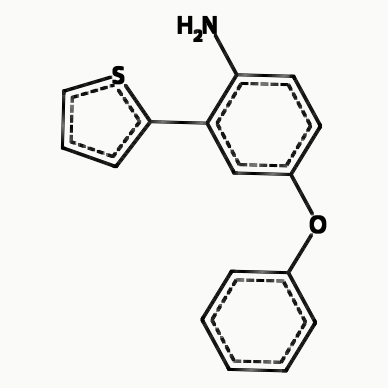 Nc1ccc(Oc2ccccc2)cc1-c1cccs1